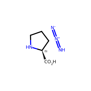 O=C(O)[C@@H]1CCCN1.[N-]=[N+]=N